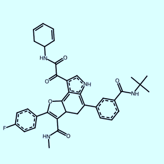 CNC(=O)C1=C(c2ccc(F)cc2)OC2=c3c(C(=O)C(=O)NC4C=CC=CC4)c[nH]c3=C(c3cccc(C(=O)NC(C)(C)C)c3)CC12